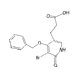 O=C(O)CCc1c[nH]c(=O)c(Br)c1OCc1ccccc1